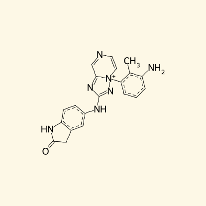 Cc1c(N)cccc1[N+]12C=CN=CC1=NC(Nc1ccc3c(c1)CC(=O)N3)=N2